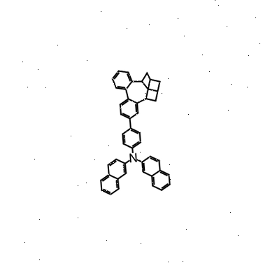 c1ccc2c(c1)-c1ccc(-c3ccc(N(c4ccc5ccccc5c4)c4ccc5ccccc5c4)cc3)cc1C1CC3CC4CC2C431